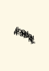 O=S(=O)(c1ccc(F)c(C(F)(F)F)c1)N1CCN2C[C@H](Oc3cnc(C4CC4)cn3)C[C@H]2C1